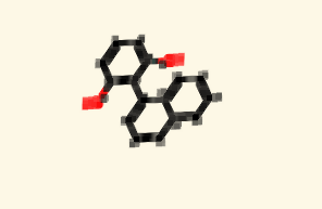 Oc1cccc(O)c1-c1cccc2ccccc12